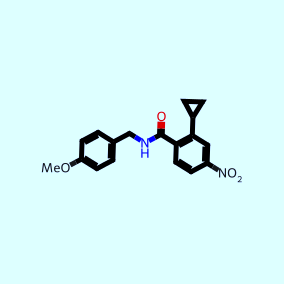 COc1ccc(CNC(=O)c2ccc([N+](=O)[O-])cc2C2CC2)cc1